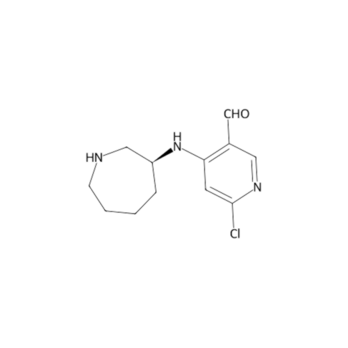 O=Cc1cnc(Cl)cc1N[C@H]1CCCCNC1